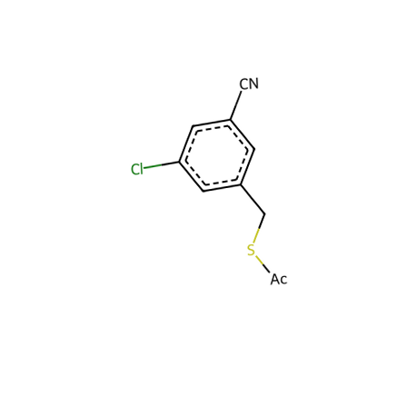 CC(=O)SCc1cc(Cl)cc(C#N)c1